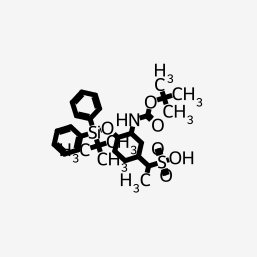 CC(C1CCC(O[Si](c2ccccc2)(c2ccccc2)C(C)(C)C)C(NC(=O)OC(C)(C)C)C1)S(=O)(=O)O